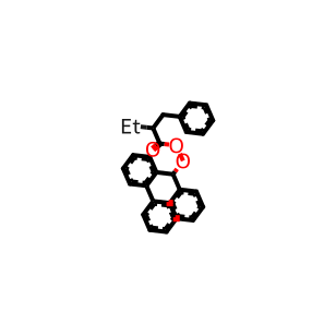 CCC(Cc1ccccc1)C(=O)OOC(c1ccccc1)c1ccccc1-c1ccccc1